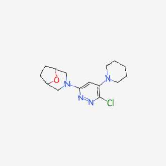 Clc1nnc(N2CC3CCC(C2)O3)cc1N1CCCCC1